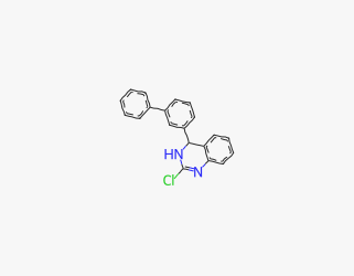 ClC1=Nc2ccccc2C(c2cccc(-c3ccccc3)c2)N1